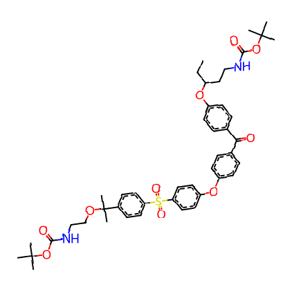 CCC(CCNC(=O)OC(C)(C)C)Oc1ccc(C(=O)c2ccc(Oc3ccc(S(=O)(=O)c4ccc(C(C)(C)OCCNC(=O)OC(C)(C)C)cc4)cc3)cc2)cc1